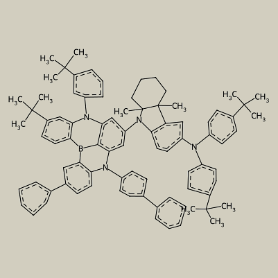 CC(C)(C)c1ccc(N(c2ccc(C(C)(C)C)cc2)c2ccc3c(c2)C2(C)CCCCC2(C)N3c2cc3c4c(c2)N(c2cccc(C(C)(C)C)c2)c2cc(C(C)(C)C)ccc2B4c2cc(-c4ccccc4)ccc2N3c2ccc(-c3ccccc3)cc2)cc1